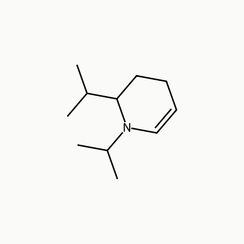 CC(C)C1CCC=CN1C(C)C